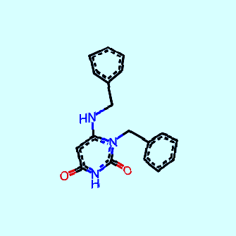 O=c1cc(NCc2ccccc2)n(Cc2ccccc2)c(=O)[nH]1